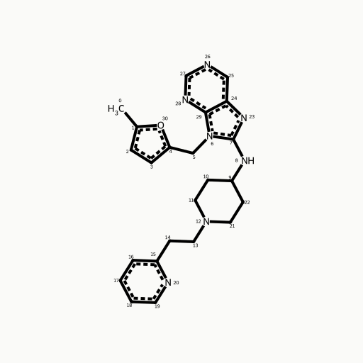 Cc1ccc(Cn2c(NC3CCN(CCc4ccccn4)CC3)nc3cncnc32)o1